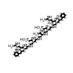 N=C(N)NCCC(=O)N(CC(=O)NCCN(CC(=O)NCC[C@H](NC(=O)CN(CCNC(=O)CN(C[C@@H](N)Cc1ccccc1)C(=O)CCNC(=N)N)C(=O)CC(=O)O)C(N)=O)C(=O)CC(=O)O)C[C@@H](N)Cc1ccccc1